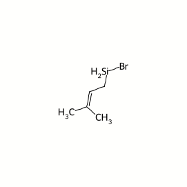 CC(C)=CC[SiH2]Br